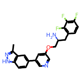 Cc1n[nH]c2ccc(-c3cncc(OC[C@@H](N)Cc4ccc(F)c(F)c4F)c3)cc12